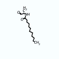 CCCCCCCCCCCC(=O)N[C@@H](C)C=O